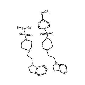 CCN(CC)S(=O)(=O)N1CCN(CCN2CCc3ccccc32)CC1.O=S(=O)(c1ccc(OC(F)(F)F)cc1)N1CCN(CCN2CCc3ccccc32)CC1